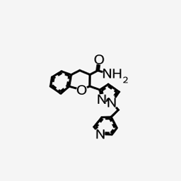 NC(=O)C1Cc2ccccc2OC1c1ccn(Cc2ccncc2)n1